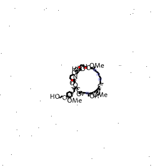 COC1C(=O)C(C)C[C@H](C)/C=C/C=C/C=C(\C)[C@@H](OC)C[C@@H]2CC[C@@H](C)[C@@](O)(O2)C(=O)C(=O)N2CCCC[C@H]2C(=O)O[C@H]([C@H](C)C[C@@H]2CC[C@@H](OCCO)[C@H](OC)C2)CC(=O)[C@H](C)/C=C(\C)[C@H]1O